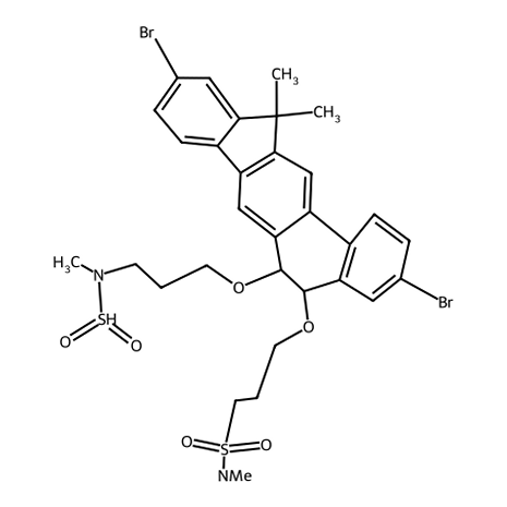 CNS(=O)(=O)CCCOC1c2cc(Br)ccc2-c2cc3c(cc2C1OCCCN(C)[SH](=O)=O)-c1ccc(Br)cc1C3(C)C